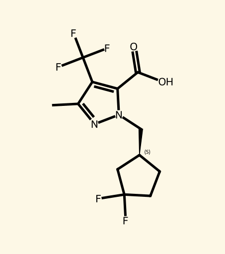 Cc1nn(C[C@H]2CCC(F)(F)C2)c(C(=O)O)c1C(F)(F)F